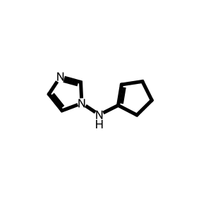 C1=C(Nn2ccnc2)CCC1